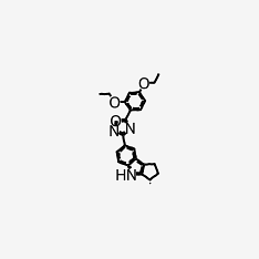 CCOc1ccc(-c2nc(-c3ccc4[nH]c5c(c4c3)CC[CH]5)no2)c(OCC)c1